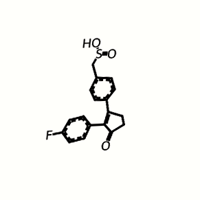 O=C1CCC(c2ccc(CS(=O)O)cc2)=C1c1ccc(F)cc1